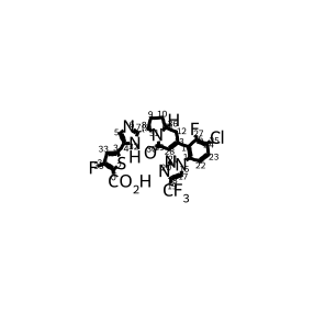 O=C(O)c1sc(-c2cnc([C@@H]3CC[C@@H]4CC(c5c(-n6cc(C(F)(F)F)nn6)ccc(Cl)c5F)=CC(=O)N43)[nH]2)cc1F